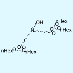 CCCCCCOCC(COCCCCCC)OC(=O)CCCCCCCN(CCCO)CCCCCCCC(=O)OC(COCCCCCC)COCCCCCC